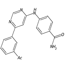 CC(=O)c1cccc(-c2cc(Nc3ccc(C(N)=O)cc3)ncn2)c1